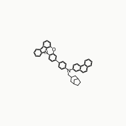 c1ccc2c(c1)ccc1cc(N(CC3CC4CCC(C4)C3)c3ccc(-c4ccc5c(c4)Oc4cccc6c7ccccc7n-5c46)cc3)ccc12